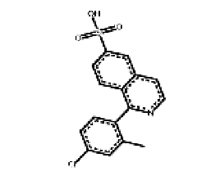 Cc1cc(Cl)ccc1-c1nccc2cc(S(=O)(=O)O)ccc12